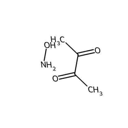 CC(=O)C(C)=O.NO